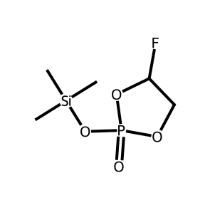 C[Si](C)(C)OP1(=O)OCC(F)O1